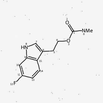 CNC(=O)OCCc1c[nH]c2cc(F)ccc12